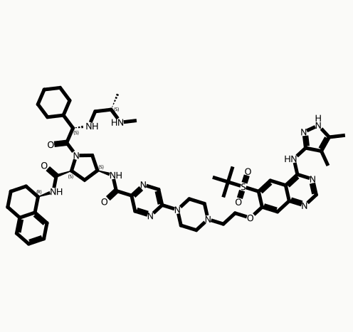 CN[C@@H](C)CN[C@H](C(=O)N1C[C@@H](NC(=O)c2cnc(N3CCN(CCOc4cc5ncnc(Nc6n[nH]c(C)c6C)c5cc4S(=O)(=O)C(C)(C)C)CC3)cn2)C[C@H]1C(=O)N[C@@H]1CCCc2ccccc21)C1CCCCC1